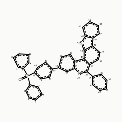 O=P(c1ccccc1)(c1ccccc1)c1ccc(-c2ccc3c(c2)nc(-c2ccccc2)c2ccc4c5ccccc5sc4c23)cc1